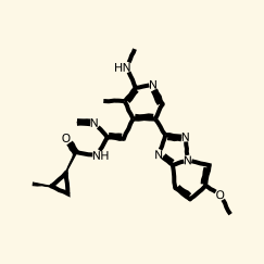 C=N/C(=C\c1c(-c2nc3ccc(OC)cn3n2)cnc(NC)c1C)NC(=O)[C@H]1C[C@H]1C